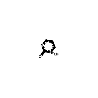 Cl.O=c1nccc[nH]1